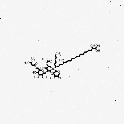 CCCCCCC(CCCC(O)CCCCCCCCCCCCCC(O)C(O)O)OC1OCC(O)C(O)C1OC1OCC(OC(C)=O)C(O)C1OC1OC(COC(=O)CC(C)C)C(O)C(O)C1O